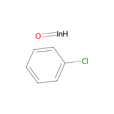 Clc1ccccc1.[O]=[InH]